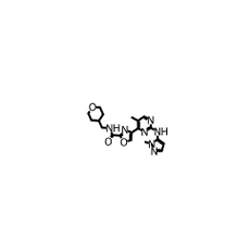 Cc1cnc(Nc2ccnn2C)nc1-c1coc(C(=O)NCC2CCOCC2)n1